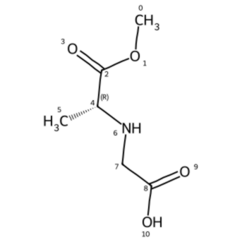 COC(=O)[C@@H](C)NCC(=O)O